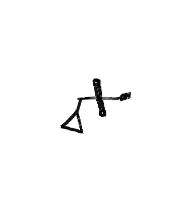 O=S(=O)(O)[CH]C1CC1